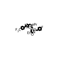 CCCN(Cc1cnc(-c2ccc(C(F)(F)F)cc2)nc1)C(=O)Cn1cc(CC)c(=O)nc1SCc1ccc(F)cc1